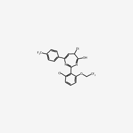 CCC1C=C(c2ccc(C(F)(F)F)cc2)N=C(c2c(Cl)cccc2OCC(F)(F)F)N=C1O